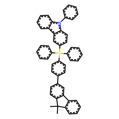 CC1(C)c2ccccc2-c2cc(-c3ccc(S(c4ccccc4)(c4ccccc4)c4ccc5c(c4)c4ccccc4n5-c4ccccc4)cc3)ccc21